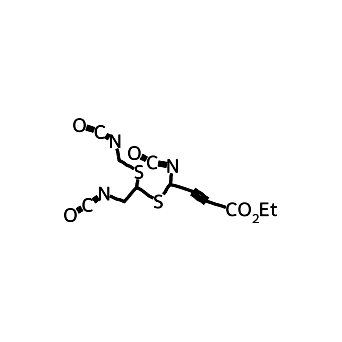 CCOC(=O)C#CC(N=C=O)SC(CN=C=O)SCN=C=O